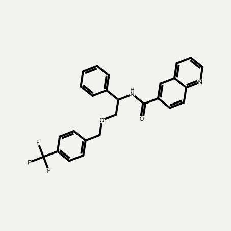 O=C(NC(COCc1ccc(C(F)(F)F)cc1)c1ccccc1)c1ccc2ncccc2c1